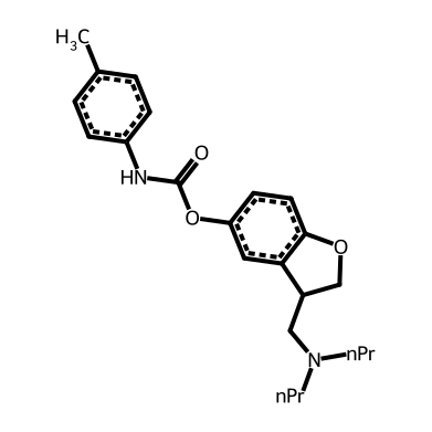 CCCN(CCC)CC1COc2ccc(OC(=O)Nc3ccc(C)cc3)cc21